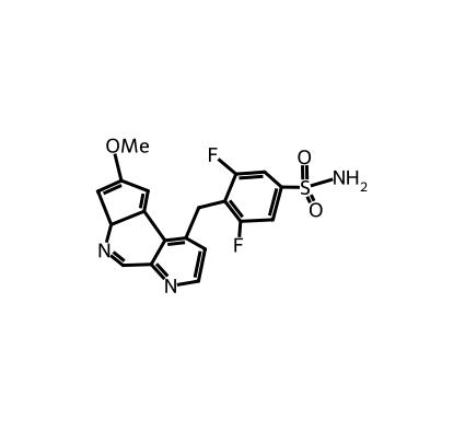 COC1=CC2N=Cc3nccc(Cc4c(F)cc(S(N)(=O)=O)cc4F)c3C2=C1